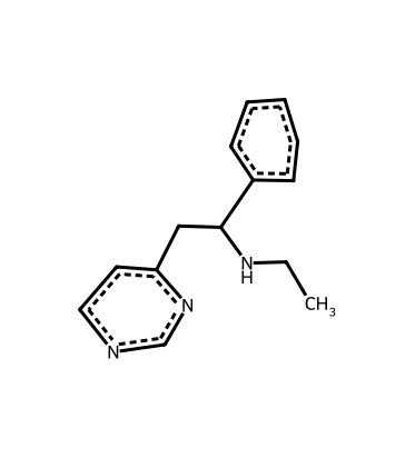 CCNC(Cc1ccncn1)c1ccccc1